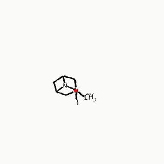 CN1CC2CC(C1)N2CI